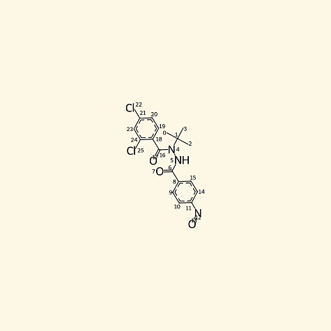 CC(C)(C)N(NC(=O)c1ccc(N=O)cc1)C(=O)c1ccc(Cl)cc1Cl